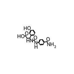 NC(=O)c1ccc(NC(=O)NC(CC(=O)O)c2cccc(O)c2)cc1